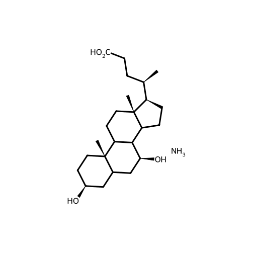 C[C@H](CCC(=O)O)[C@H]1CCC2C3C(CC[C@@]21C)[C@@]1(C)CC[C@H](O)CC1C[C@@H]3O.N